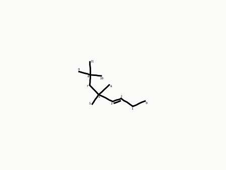 CCC=CC(C)(C)CC(C)(C)C